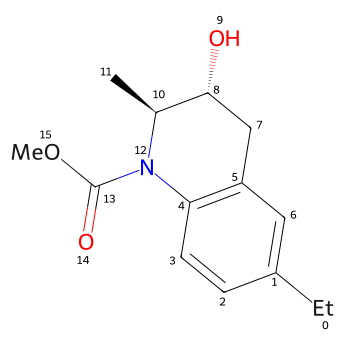 CCc1ccc2c(c1)C[C@@H](O)[C@H](C)N2C(=O)OC